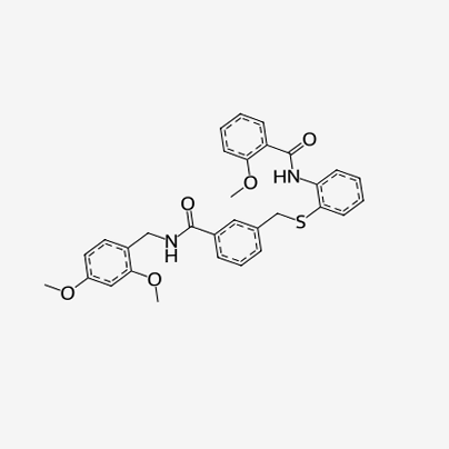 COc1ccc(CNC(=O)c2cccc(CSc3ccccc3NC(=O)c3ccccc3OC)c2)c(OC)c1